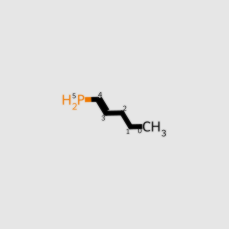 CCC/C=C/P